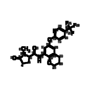 CN1C(=O)CCC1C(=O)Nc1cc(Oc2ccc(C(F)(F)F)cn2)cc2c1OCCC2